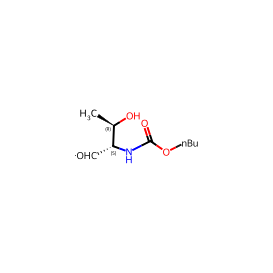 CCCCOC(=O)N[C@H]([C]=O)[C@@H](C)O